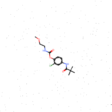 COCCNC(=O)Oc1ccc(NC(=O)C(C)(C)C)cc1Cl